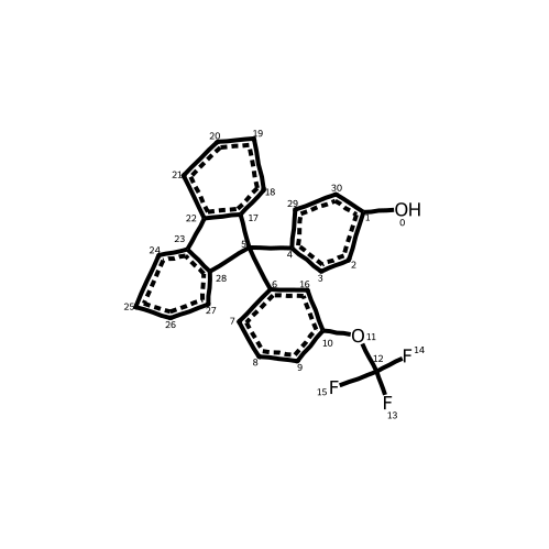 Oc1ccc(C2(c3cccc(OC(F)(F)F)c3)c3ccccc3-c3ccccc32)cc1